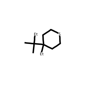 CCC(C)(C)C1(CC)CCSCC1